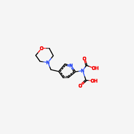 O=C(O)N(C(=O)O)c1ccc(CN2CCOCC2)cn1